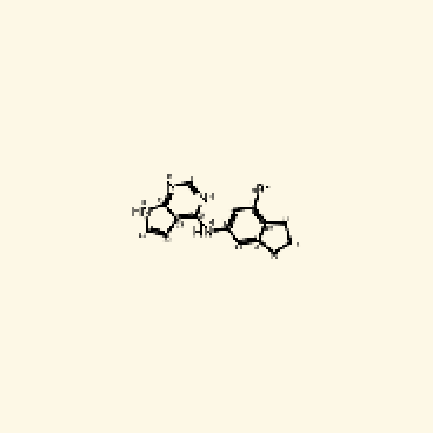 Brc1cc(Nc2ncnc3[nH]ccc23)cc2c1CCC2